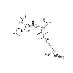 C=CC(=C)Nc1cc(N/C(C)=C/C(=C\N(C)C=C)c2cccc(NC/C=C/C=C(\S)CCCCC)c2C)ccc1N1CCC(C)CC1